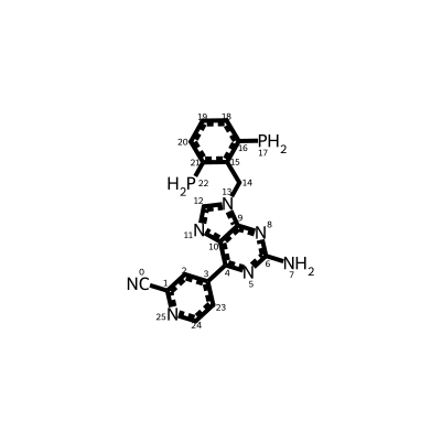 N#Cc1cc(-c2nc(N)nc3c2ncn3Cc2c(P)cccc2P)ccn1